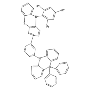 CC(C)c1cc(C(C)C)c(B2c3ccccc3Sc3cc(-c4cccc(N5c6ccccc6[Si](c6ccccc6)(c6ccccc6)c6ccccc65)c4)ccc32)c(C(C)C)c1